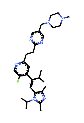 Cc1nc(C)n(C(C)C)c1/C=C(/c1cc(CCc2ncc(CN3CCN(C)CC3)cn2)ncc1F)C(C)C